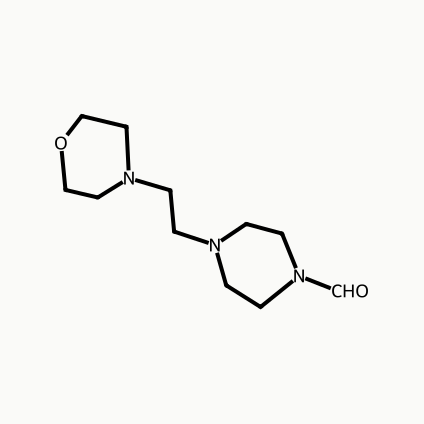 O=CN1CCN(CCN2CCOCC2)CC1